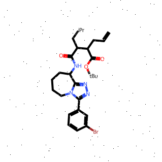 C=CCC(C(=O)OC(C)(C)C)C(CC(C)C)C(=O)NC1CCCCn2c(-c3cccc(Br)c3)nnc21